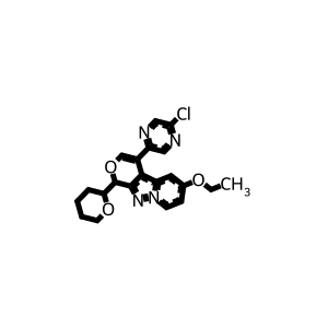 CCOc1ccn2nc3c(c2c1)C(c1cnc(Cl)cn1)=COC3C1CCCCO1